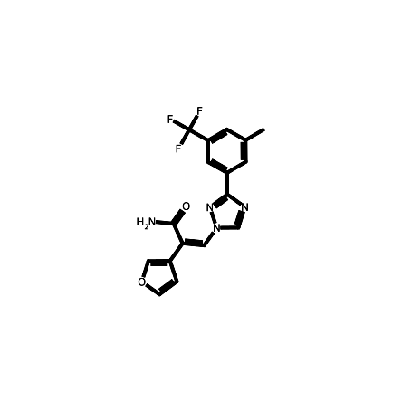 Cc1cc(-c2ncn(C=C(C(N)=O)c3ccoc3)n2)cc(C(F)(F)F)c1